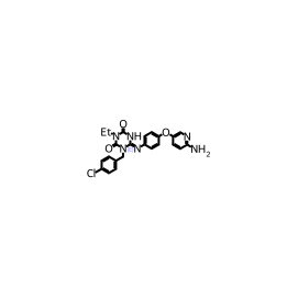 CCn1c(=O)[nH]/c(=N\c2ccc(Oc3ccc(N)nc3)cc2)n(Cc2ccc(Cl)cc2)c1=O